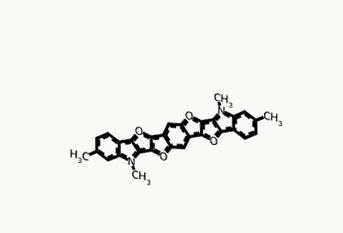 Cc1ccc2c3oc4c5cc6oc7c(oc8c9ccc(C)cc9n(C)c87)c6cc5oc4c3n(C)c2c1